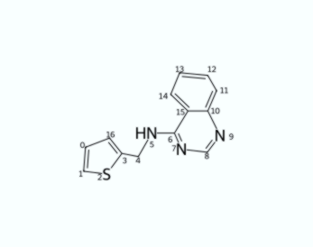 c1csc(CNc2ncnc3ccccc23)c1